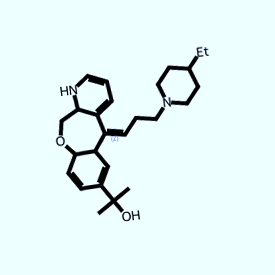 CCC1CCN(CC/C=C2\C3=CC=CNC3COC3C=CC(C(C)(C)O)=CC23)CC1